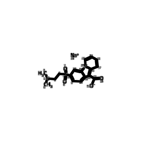 CN(C)CCS(=O)(=O)c1ccc2c(C(=O)[O-])c3ccccn3c2c1.[Na+]